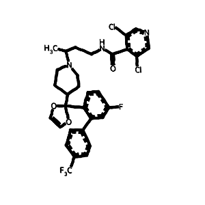 CC(CCNC(=O)c1c(Cl)cncc1Cl)N1CCC(C2(c3ccc(F)cc3-c3ccc(C(F)(F)F)cc3)OC=CO2)CC1